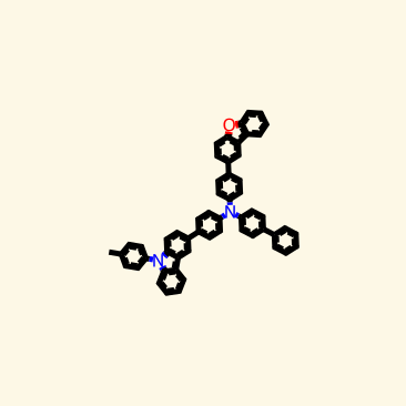 Cc1ccc(-n2c3ccccc3c3cc(-c4ccc(N(c5ccc(-c6ccccc6)cc5)c5ccc(-c6ccc7oc8ccccc8c7c6)cc5)cc4)ccc32)cc1